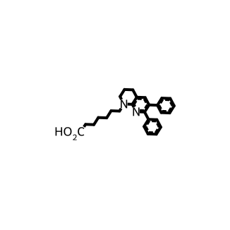 O=C(O)CCCCCCN1CCCc2cc(-c3ccccc3)c(-c3ccccc3)nc21